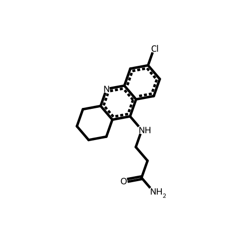 NC(=O)CCNc1c2c(nc3cc(Cl)ccc13)CCCC2